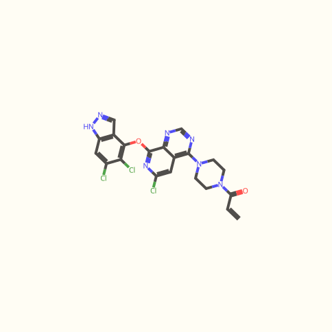 C=CC(=O)N1CCN(c2ncnc3c(Oc4c(Cl)c(Cl)cc5[nH]ncc45)nc(Cl)cc23)CC1